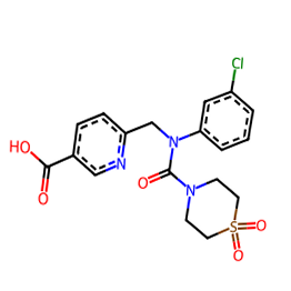 O=C(O)c1ccc(CN(C(=O)N2CCS(=O)(=O)CC2)c2cccc(Cl)c2)nc1